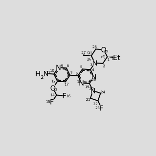 CC[C@H]1CN(c2cc(-c3cnc(N)c(OC(F)F)c3)nc(N3CC(F)C3)n2)[C@@H](C)CO1